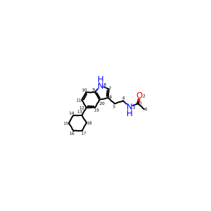 CC(=O)NCCc1c[nH]c2ccc(C3CCCCC3)cc12